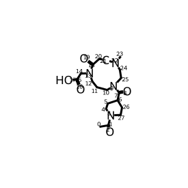 CC(=O)N1CCC(C(=O)N2CCCN(CC(=O)O)C(=O)CCN(C)CC2)CC1